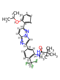 CC(C)Oc1ccccc1-c1ccc2nc(-c3ccc(C(F)(F)F)c(NC(=O)C(C)(C)C)c3)cn2n1